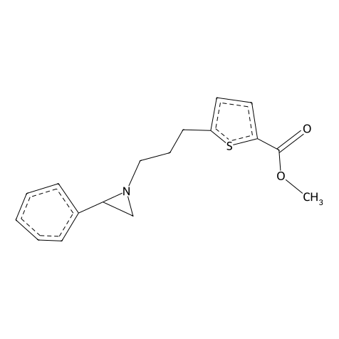 COC(=O)c1ccc(CCCN2CC2c2ccccc2)s1